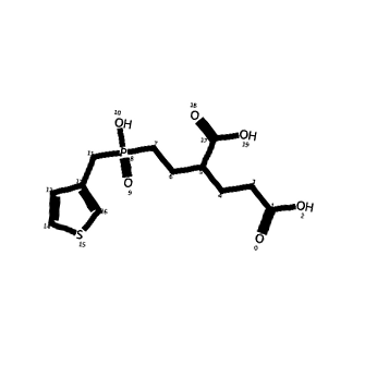 O=C(O)CCC(CCP(=O)(O)Cc1ccsc1)C(=O)O